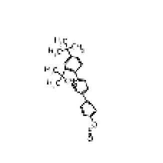 CC(C)(C)c1ccc(-c2ccc(-c3ccc(OP=O)cc3)cc2)c(C(C)(C)C)c1